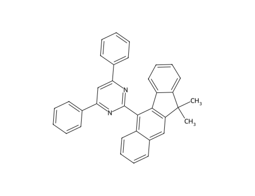 CC1(C)c2ccccc2-c2c1cc1ccccc1c2-c1nc(-c2ccccc2)cc(-c2ccccc2)n1